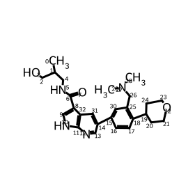 CC(CO)CNC(=O)c1c[nH]c2ncc(-c3ccc(C4CCOCC4)c(CN(C)C)c3)cc12